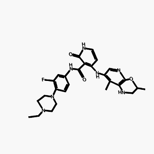 CCN1CCN(c2ccc(NC(=O)c3c(Nc4cnc5c(c4C)NCC(C)O5)cc[nH]c3=O)cc2F)CC1